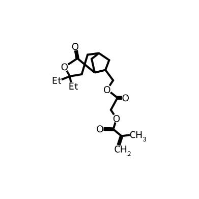 C=C(C)C(=O)OCC(=O)OCC1CC2CC1C1(C2)CC(CC)(CC)OC1=O